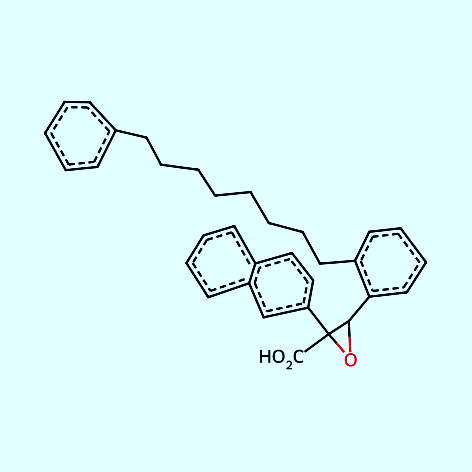 O=C(O)C1(c2ccc3ccccc3c2)OC1c1ccccc1CCCCCCCCc1ccccc1